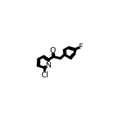 O=C(Cc1ccc(F)cc1)c1cccc(Cl)n1